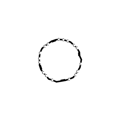 C1=CCCCCCCC=CCCCCCCC=CCCCCCCCC=CCCCCC1